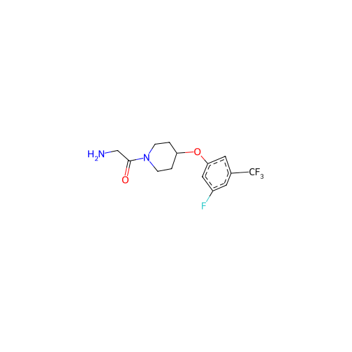 NCC(=O)N1CCC(Oc2cc(F)cc(C(F)(F)F)c2)CC1